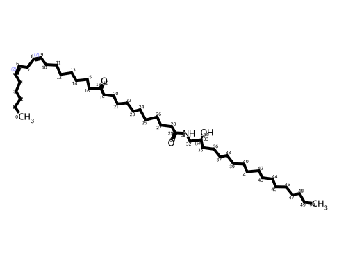 CCCCC/C=C\C/C=C\CCCCCCCC(=O)CCCCCCCCCCC(=O)NC[C@@H](O)CCCCCCCCCCCCCCCC